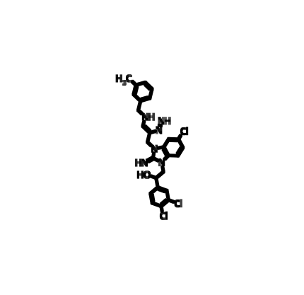 Cc1cccc(CN/C=C(/Cn2c(=N)n(CC(O)c3ccc(Cl)c(Cl)c3)c3ccc(Cl)cc32)N=N)c1